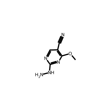 COc1nc(NN)ncc1C#N